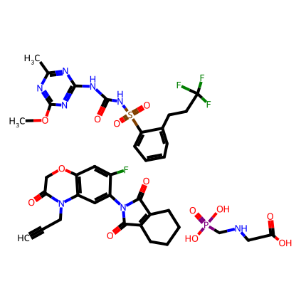 C#CCN1C(=O)COc2cc(F)c(N3C(=O)C4=C(CCCC4)C3=O)cc21.COc1nc(C)nc(NC(=O)NS(=O)(=O)c2ccccc2CCC(F)(F)F)n1.O=C(O)CNCP(=O)(O)O